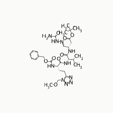 COCn1nnnc1CC[C@H](NC(=O)OCc1ccccc1)C(=O)N[C@H](C(=O)N[C@H](/C=N/NC(N)=O)CC(=O)OC(C)(C)C)C(C)C